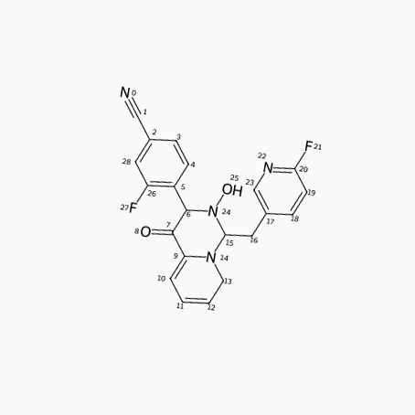 N#Cc1ccc(C2C(=O)C3=CC=CCN3C(Cc3ccc(F)nc3)N2O)c(F)c1